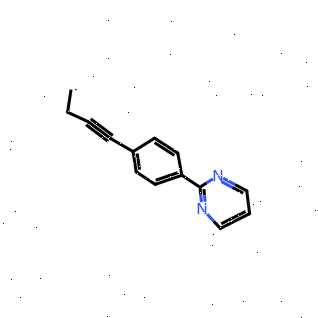 [CH2]CC#Cc1ccc(-c2ncccn2)cc1